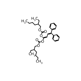 CCCCC(CC)COC(=O)OC(=CC=C(c1ccccc1)c1ccccc1)OC(=O)OCC(CC)CCCC